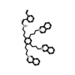 C=Cc1ccccc1/C=C\NCCCc1cc(CCC[n+]2ccc3ccccc3c2)c(CCC[n+]2ccc3ccccc3c2)cc1CCC[n+]1ccc2ccccc2c1